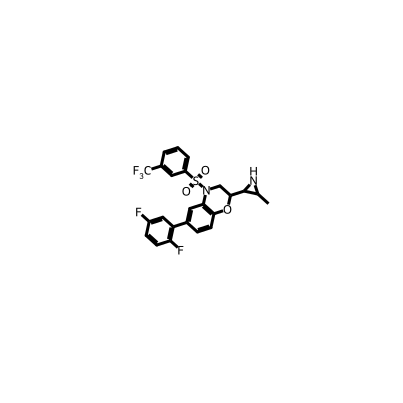 CC1NC1C1CN(S(=O)(=O)c2cccc(C(F)(F)F)c2)c2cc(-c3cc(F)ccc3F)ccc2O1